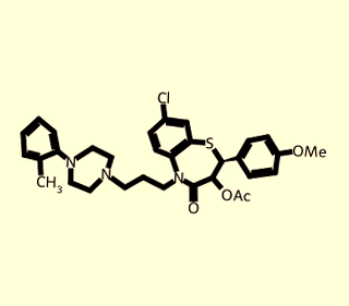 COc1ccc([C@@H]2Sc3cc(Cl)ccc3N(CCCN3CCN(c4ccccc4C)CC3)C(=O)C2OC(C)=O)cc1